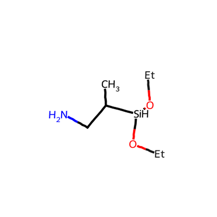 CCO[SiH](OCC)C(C)CN